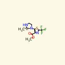 COC(=O)c1nc(C(F)(F)F)sc1N1CCN[C@H](C)C1